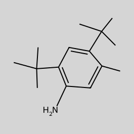 Cc1cc(N)c(C(C)(C)C)cc1C(C)(C)C